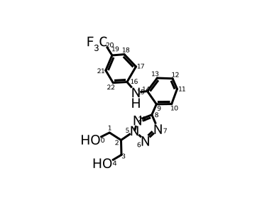 OCC(CO)n1nnc(-c2ccccc2Nc2ccc(C(F)(F)F)cc2)n1